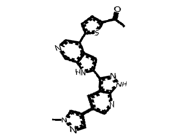 CC(=O)c1ccc(-c2cncc3[nH]c(-c4n[nH]c5ncc(-c6cnn(C)c6)cc45)cc23)s1